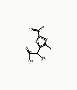 Cc1cc(C(=O)O)sc1C(N)C(=O)O